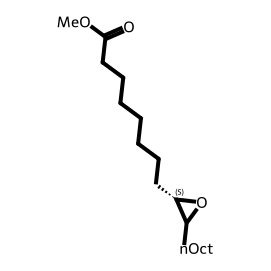 CCCCCCCCC1O[C@H]1CCCCCCCC(=O)OC